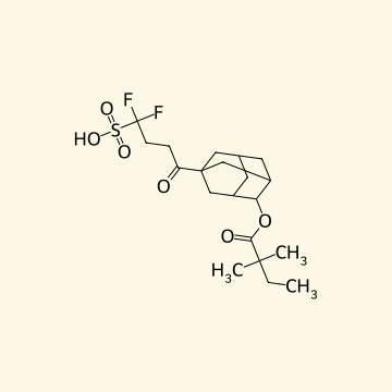 CCC(C)(C)C(=O)OC1C2CC3CC1CC(C(=O)CCC(F)(F)S(=O)(=O)O)(C3)C2